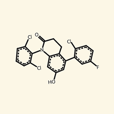 O=C1CCc2c(-c3cc(F)ccc3Cl)cc(O)cc2N1c1c(Cl)cccc1Cl